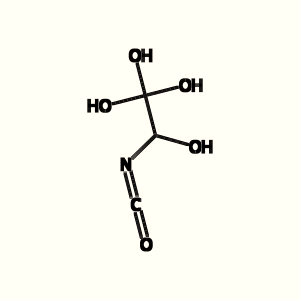 O=C=NC(O)C(O)(O)O